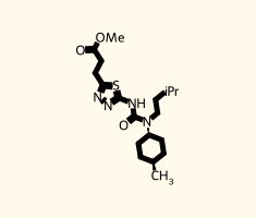 COC(=O)CCc1nnc(NC(=O)N(CCC(C)C)[C@H]2CC[C@H](C)CC2)s1